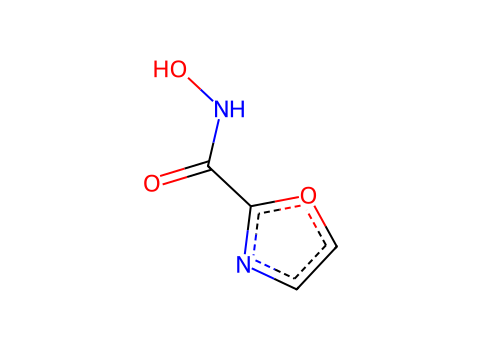 O=C(NO)c1ncco1